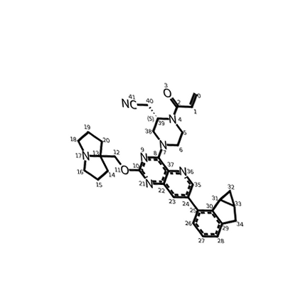 C=CC(=O)N1CCN(c2nc(OCC34CCCN3CCC4)nc3cc(-c4cccc5c4C4CC4C5)cnc23)C[C@@H]1CC#N